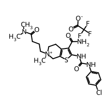 CN(C)C(=O)CCC[N+]1(C)CCc2c(sc(NC(=O)Nc3ccc(Cl)cc3)c2C(N)=O)C1.O=C([O-])C(F)(F)F